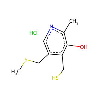 CSCc1cnc(C)c(O)c1CS.Cl